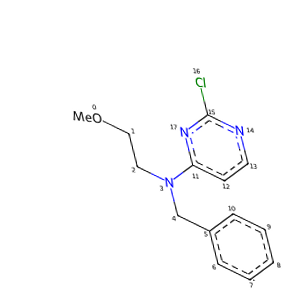 COCCN(Cc1c[c]ccc1)c1ccnc(Cl)n1